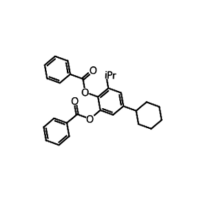 CC(C)c1cc(C2CCCCC2)cc(OC(=O)c2ccccc2)c1OC(=O)c1ccccc1